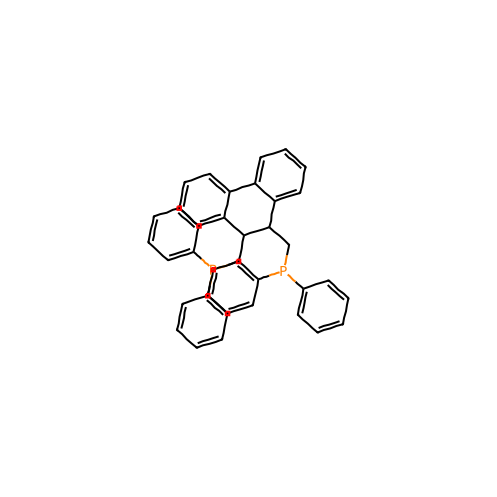 c1ccc(P(CC2c3ccccc3-c3ccccc3C2CP(c2ccccc2)c2ccccc2)c2ccccc2)cc1